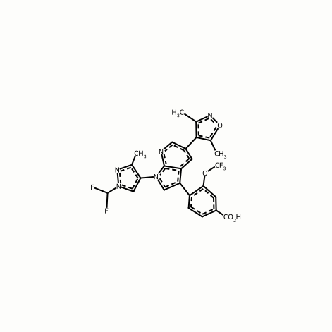 Cc1nn(C(F)F)cc1-n1cc(-c2ccc(C(=O)O)cc2OC(F)(F)F)c2cc(-c3c(C)noc3C)cnc21